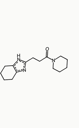 O=C(CCc1nc2c([nH]1)CCCC2)N1CCCCC1